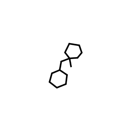 CC1([CH]C2CCCCC2)CCCCC1